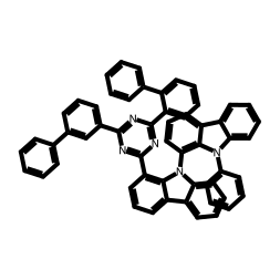 c1ccc(-c2cccc(-c3nc(-c4ccccc4-c4ccccc4)nc(-c4cccc5c6ccccc6n(-c6cccc7c8ccccc8n(-c8ccccc8)c67)c45)n3)c2)cc1